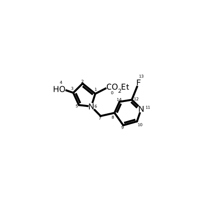 CCOC(=O)c1cc(O)cn1Cc1ccnc(F)c1